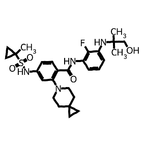 CC(C)(CO)Nc1cccc(NC(=O)c2ccc(NS(=O)(=O)C3(C)CC3)cc2N2CCC3(CC2)CC3)c1F